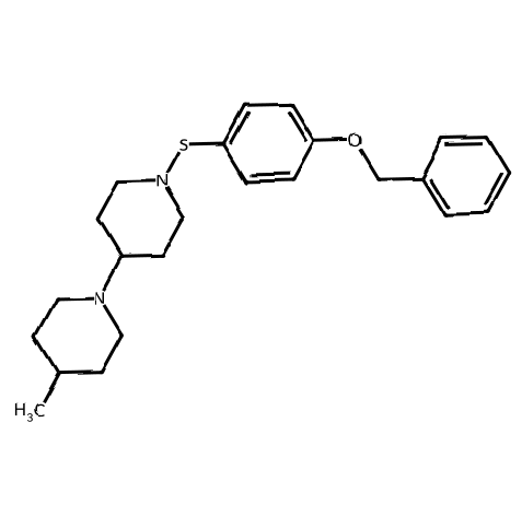 CC1CCN(C2CCN(Sc3ccc(OCc4ccccc4)cc3)CC2)CC1